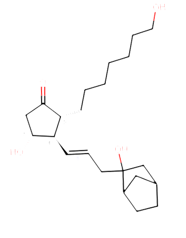 O=C1C[C@@H](O)[C@H](/C=C/CC2(O)CC3CCC2C3)[C@H]1CCCCCCCO